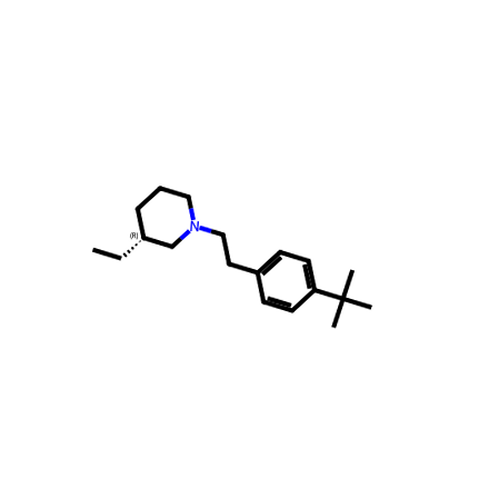 CC[C@@H]1CCCN(CCc2ccc(C(C)(C)C)cc2)C1